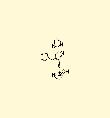 OC1(C#Cc2cnc(-c3ncccn3)cc2Cc2ccccc2)CN2CCC1CC2